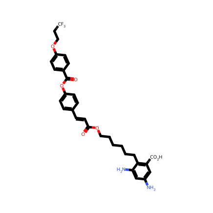 Nc1cc(N)c(CCCCCCOC(=O)/C=C/c2ccc(OC(=O)c3ccc(OCCC(F)(F)F)cc3)cc2)c(C(=O)O)c1